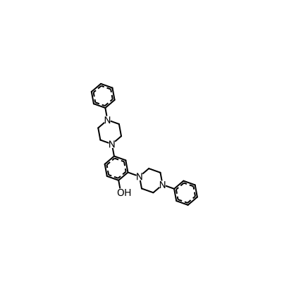 Oc1ccc(N2CCN(c3ccccc3)CC2)cc1N1CCN(c2ccccc2)CC1